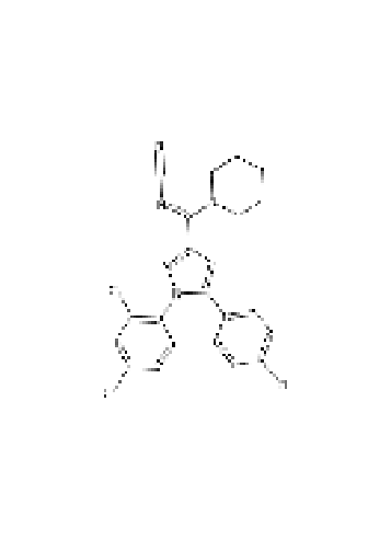 N#CN=C(c1cc(-c2ccc(Cl)cc2)n(-c2ccc(Cl)cc2Cl)n1)N1CCCCC1